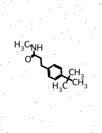 CNC(=O)CCc1ccc(C(C)(C)C)cc1